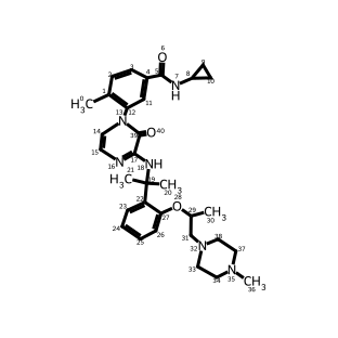 Cc1ccc(C(=O)NC2CC2)cc1-n1ccnc(NC(C)(C)c2ccccc2OC(C)CN2CCN(C)CC2)c1=O